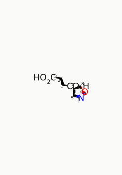 O=C(O)/C=C/C(=O)O.c1cnoc1